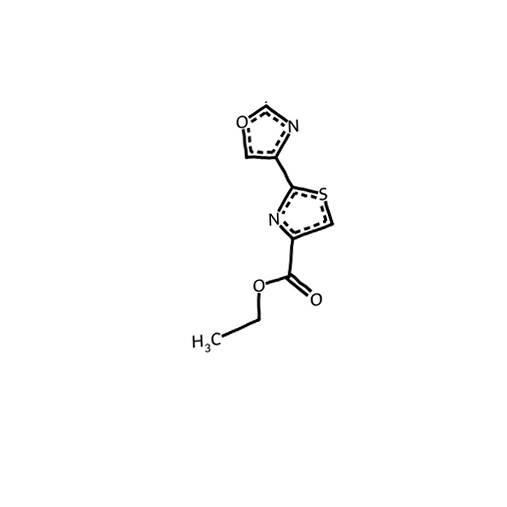 CCOC(=O)c1csc(-c2co[c]n2)n1